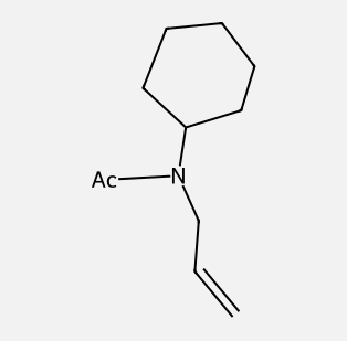 C=CCN(C(C)=O)C1CCCCC1